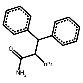 CCCC(C(N)=O)C(c1ccccc1)c1ccccc1